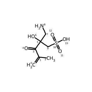 C=C(C)C(=O)C(O)(CN)CS(=O)(=O)O